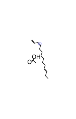 C=C/C=C\CCCCCCC=CCC.CC(=O)O